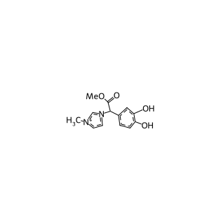 COC(=O)C(c1ccc(O)c(O)c1)n1cc[n+](C)c1